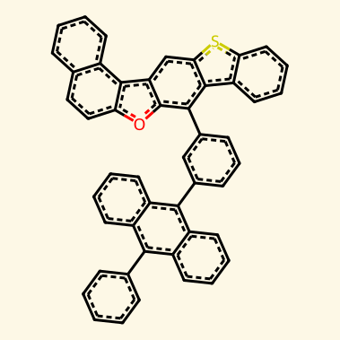 c1ccc(-c2c3ccccc3c(-c3cccc(-c4c5oc6ccc7ccccc7c6c5cc5sc6ccccc6c45)c3)c3ccccc23)cc1